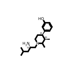 CC(C)C[C@H](N)CN1CC[C@@H](c2cccc(O)c2)[C@@H](C)C1C